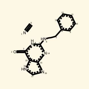 C#N.O=c1[nH]c(NCc2ccccc2)nc2nc[nH]c12